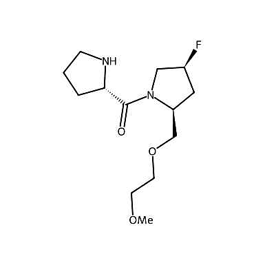 COCCOC[C@@H]1C[C@H](F)CN1C(=O)[C@@H]1CCCN1